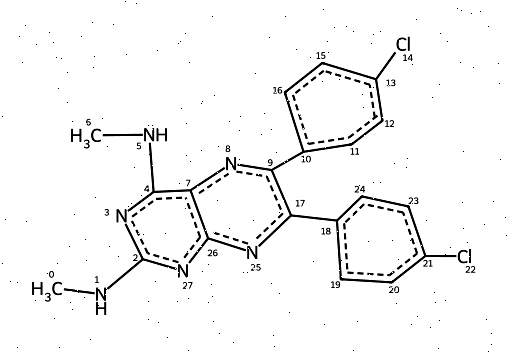 CNc1nc(NC)c2nc(-c3ccc(Cl)cc3)c(-c3ccc(Cl)cc3)nc2n1